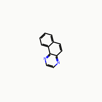 [c]1cnc2c(ccc3ccccc32)n1